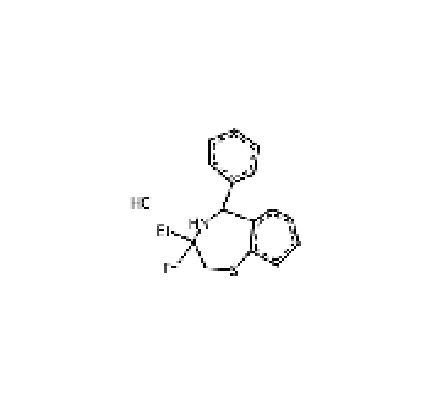 CCC1(CC)CSc2ccccc2C(c2ccccc2)N1.Cl